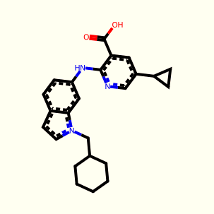 O=C(O)c1cc(C2CC2)cnc1Nc1ccc2ccn(CC3CCCCC3)c2c1